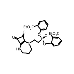 CCOC(=O)c1ccccc1OP(=O)(CCN1CCCNc2c1c(=O)c2=O)Oc1ccccc1C(=O)OCC